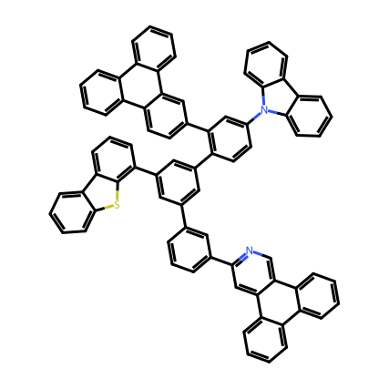 c1cc(-c2cc(-c3ccc(-n4c5ccccc5c5ccccc54)cc3-c3ccc4c5ccccc5c5ccccc5c4c3)cc(-c3cccc4c3sc3ccccc34)c2)cc(-c2cc3c4ccccc4c4ccccc4c3cn2)c1